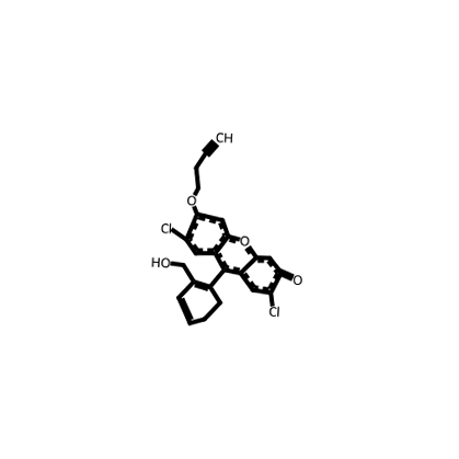 C#CCCOc1cc2oc3cc(=O)c(Cl)cc-3c(C3=C(CO)C=CCC3)c2cc1Cl